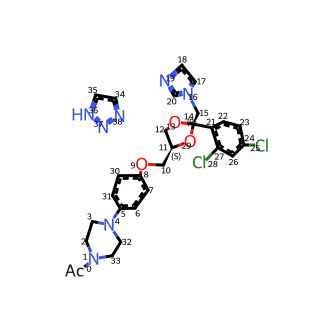 CC(=O)N1CCN(c2ccc(OC[C@H]3CO[C@](Cn4ccnc4)(c4ccc(Cl)cc4Cl)O3)cc2)CC1.c1c[nH]nn1